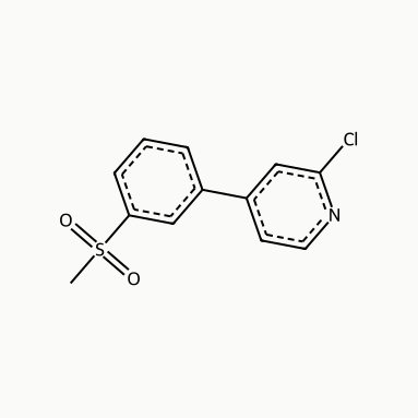 CS(=O)(=O)c1cccc(-c2ccnc(Cl)c2)c1